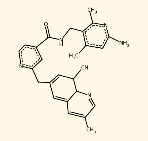 CC1=CC2=CC(Cc3cc(C(=O)NCc4c(C)cc(N)nc4C)ccn3)=CC(C#N)C2N=C1